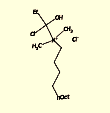 CCCCCCCCCCCC[N+](C)(C)C(O)(Cl)CC.[Cl-]